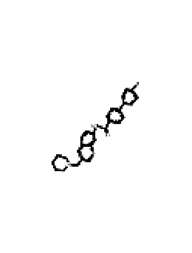 O=C(Nc1ccc2cc(CN3CCCCC3)cnc2c1)c1ccc(-c2ccc(F)cc2)cc1